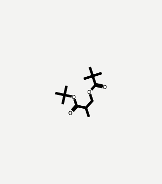 CC(COC(=O)C(C)(C)C)C(=O)OC(C)(C)C